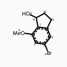 COc1cc(Br)cc2c1C(O)CC2